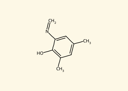 C=Nc1cc(C)cc(C)c1O